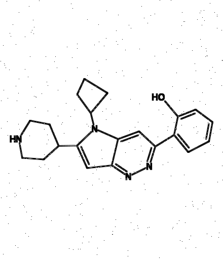 Oc1ccccc1-c1cc2c(cc(C3CCNCC3)n2C2CCC2)nn1